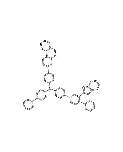 c1ccc(-c2ccc(N(c3ccc(-c4ccc(-c5ccccc5)c(-c5cc6ccccc6o5)c4)cc3)c3ccc(-c4ccc5c(ccc6ccccc65)c4)cc3)cc2)cc1